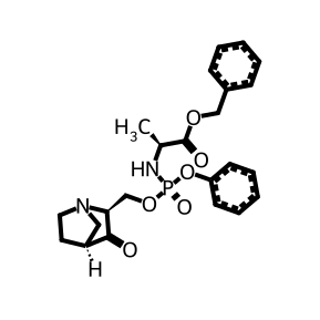 C[C@H](NP(=O)(OC[C@H]1C(=O)[C@H]2CCN1C2)Oc1ccccc1)C(=O)OCc1ccccc1